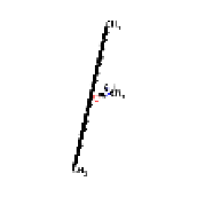 CCCCCC=CCC=CCCCCCCCCC(CCCCCCCCC=CCC=CCCCCC)OCCN(C)C